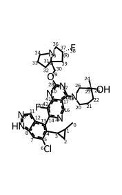 CC1CC1c1c(Cl)cc2[nH]ncc2c1-c1ncc2c(N3CCC[C@@](C)(O)C3)nc(OC[C@@]34CCCN3C[C@H](F)C4)nc2c1F